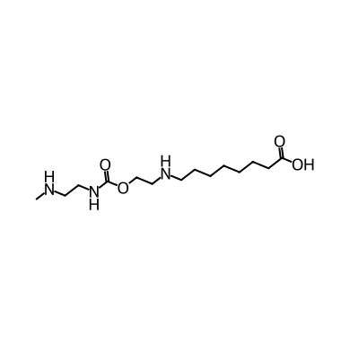 CNCCNC(=O)OCCNCCCCCCCC(=O)O